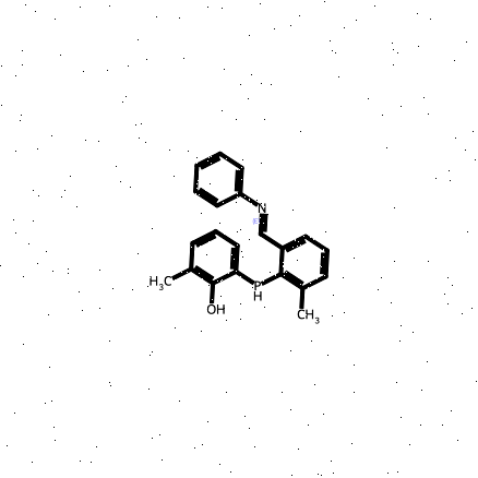 Cc1cccc(Pc2c(C)cccc2/C=N/c2ccccc2)c1O